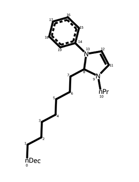 CCCCCCCCCCCCCCCCCC1N(CCC)C=CN1c1ccccc1